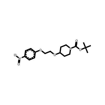 CC(C)(C)OC(=O)N1CCC(OCCOc2ccc([N+](=O)[O-])cc2)CC1